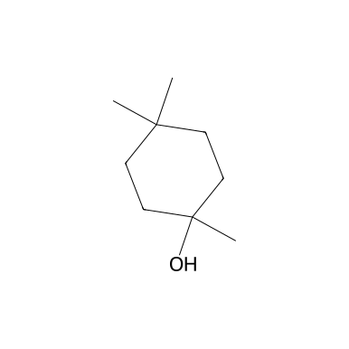 CC1(C)CCC(C)(O)CC1